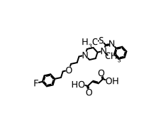 CS/C(=N/c1ccccc1)N(C)C1CCN(CCCOCCc2ccc(F)cc2)CC1.O=C(O)/C=C/C(=O)O